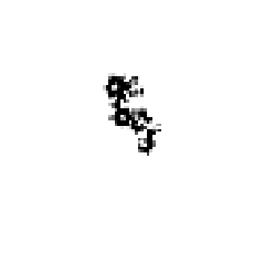 O=C(C1CCCO1)N1CC[PH](O)(c2cc(Cc3n[nH]c(=O)c4ccccc34)ccc2F)CC1